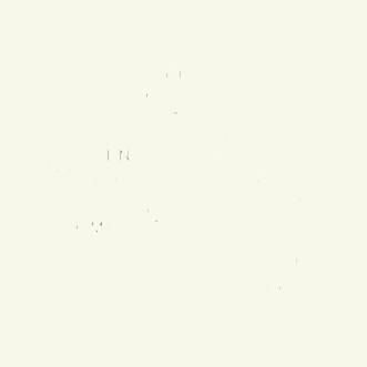 CCCOc1ccc(-c2ccc(OC(F)(F)F)cc2)cc1NC(=O)C(=O)OC